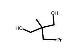 CC(C)CC(C)(CO)CO